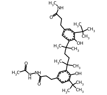 CNC(=O)CCc1cc(C(C)(C)C)c(O)c(C(C)(C)CCC(C)(C)c2cc(CCC(=O)NNC(C)=O)cc(C(C)(C)C)c2O)c1